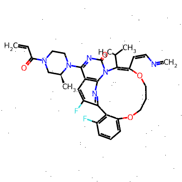 C=CC(=O)N1CCN(c2nc(=O)n3c4nc(c(F)cc24)-c2c(F)cccc2OCCCOC(/C=C\N=C)=C\3C(C)C)[C@@H](C)C1